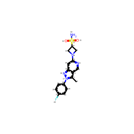 Cc1c2cnc(N3CC(S(N)(=O)=O)C3)cc2nn1-c1ccc(F)cc1